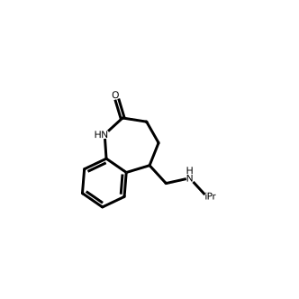 CC(C)NCC1CCC(=O)Nc2ccccc21